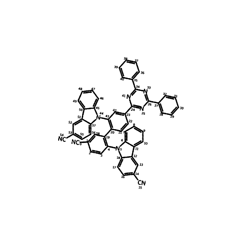 N#Cc1ccc(-n2c3ccccc3c3cc(C#N)ccc32)c(-c2ccc(-c3nc(-c4ccccc4)nc(-c4ccccc4)n3)cc2-n2c3ccccc3c3cc(C#N)ccc32)c1